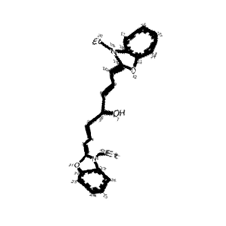 CCN1C(=CC=CC(O)C=CC=C2Oc3ccccc3N2CC)Oc2ccccc21